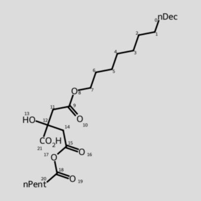 CCCCCCCCCCCCCCCCCOC(=O)CC(O)(CC(=O)OC(=O)CCCCC)C(=O)O